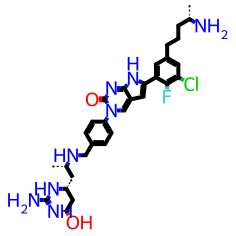 C[C@H](N)CCCc1cc(Cl)c(F)c(-c2cc3cn(-c4ccc(CN[C@@H](C)C[C@H](CCO)NC(=N)N)cc4)c(=O)nc3[nH]2)c1